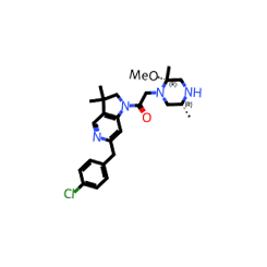 CO[C@]1(C)CN[C@H](C)CN1CC(=O)N1CC(C)(C)c2cnc(Cc3ccc(Cl)cc3)cc21